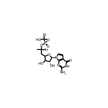 CCC(C)(CC1O[C@@H](n2ccc3c(=O)[nH]c(N)nc32)[C@H](O)C1O)OP1(=O)OC1(O)CC